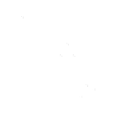 CCN(C)CCCCNc1ncc2c(n1)-c1ccccc1C(c1ccc(N)cc1)C2